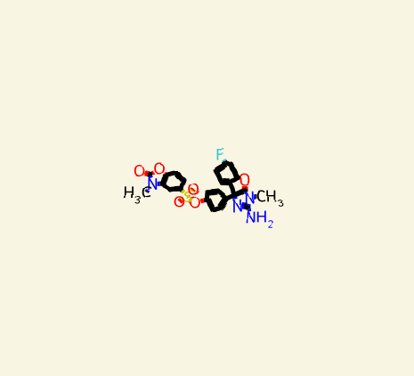 CN1C(=O)C(c2ccc(F)cc2)(c2ccc(OS(=O)(=O)c3ccc4oc(=O)n(C)c4c3)cc2)N=C1N